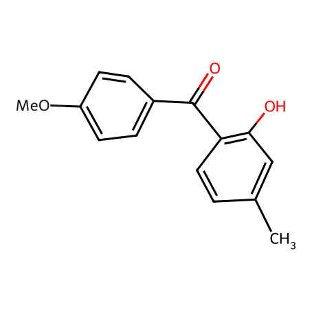 COc1ccc(C(=O)c2ccc(C)cc2O)cc1